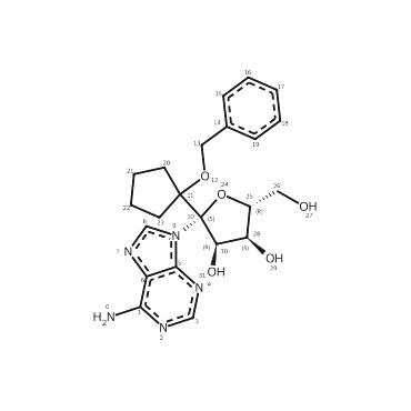 Nc1ncnc2c1ncn2[C@]1(C2(OCc3ccccc3)CCCC2)O[C@H](CO)[C@@H](O)[C@H]1O